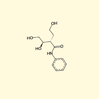 O=C(Nc1ccccc1)[C@@H](CCO)[C@@H](O)CO